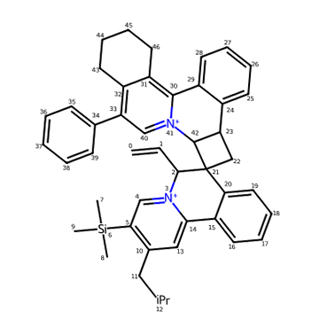 C=CC1[n+]2cc([Si](C)(C)C)c(CC(C)C)cc2-c2ccccc2C12CC1c3ccccc3-c3c4c(c(-c5ccccc5)c[n+]3C12)CCCC4